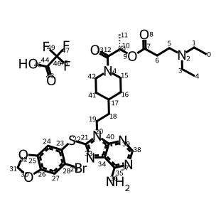 CCN(CC)CCC(=O)O[C@@H](C)C(=O)N1CCC(CCn2c(Sc3cc4c(cc3Br)OCO4)nc3c(N)ncnc32)CC1.O=C(O)C(F)(F)F